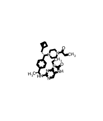 C=CC(=O)N1CCN([C@@H](CC23CC(C2)C3)c2ccc([C@H](C)Nc3ncc4[nH]c(=O)n(CC)c4n3)cc2)CC1